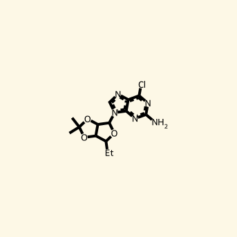 CCC1OC(n2cnc3c(Cl)nc(N)nc32)C2OC(C)(C)OC12